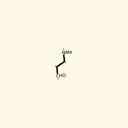 CNCCC=O